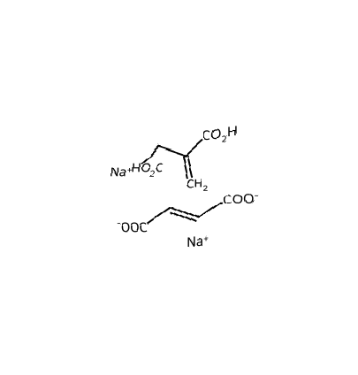 C=C(CC(=O)O)C(=O)O.O=C([O-])C=CC(=O)[O-].[Na+].[Na+]